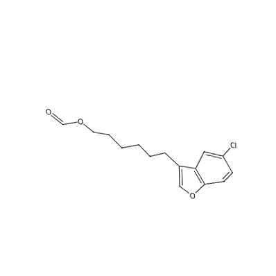 O=COCCCCCCc1coc2ccc(Cl)cc12